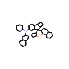 c1ccc(N(c2ccc3c(c2)C2(c4ccccc4Oc4c2ccc2ccccc42)c2ccccc2-3)c2ccc3ccccc3c2)cc1